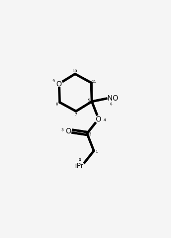 [CH2]C([CH2])CC(=O)OC1(N=O)CCOCC1